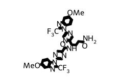 COc1ccc2c(c1)nc(C(F)(F)F)n2-c1cnc(C(=O)NC(CCC(N)=O)c2cnc(-n3c(C(F)(F)F)nc4cc(OC)ccc43)cn2)cn1